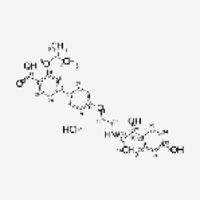 CC(C)Oc1cc(-c2ccc(OCCN[C@@H](C)[C@H](O)c3ccc(O)cc3)cc2)ccc1C(=O)O.Cl